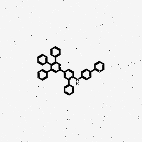 c1ccc(-c2ccc(Nc3ccc(-c4cc(-c5ccccc5)c(-c5ccccc5)c(-c5ccccc5)c4)cc3-c3ccccc3)cc2)cc1